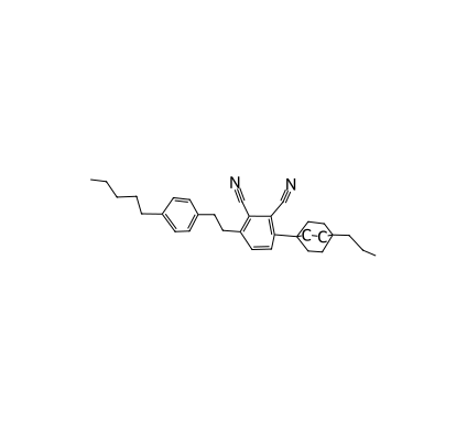 CCCCCc1ccc(CCc2ccc(C34CCC(CCC)(CC3)CC4)c(C#N)c2C#N)cc1